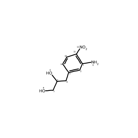 Nc1cc(CC(O)CO)ccc1[N+](=O)[O-]